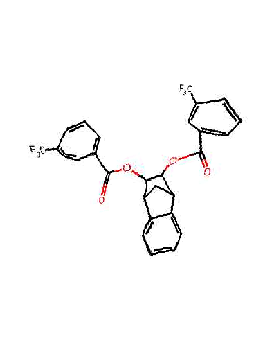 O=C(OC1C2CC(c3ccccc32)C1OC(=O)c1cccc(C(F)(F)F)c1)c1cccc(C(F)(F)F)c1